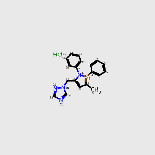 CC1=S(c2ccccc2)N(c2ccccc2)C(Cn2cncn2)=C1.Cl